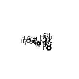 COc1nccn2c(-c3c(F)cccc3F)nc(Nc3cnn(CC(=O)OC(C)(C)C)c3)c12